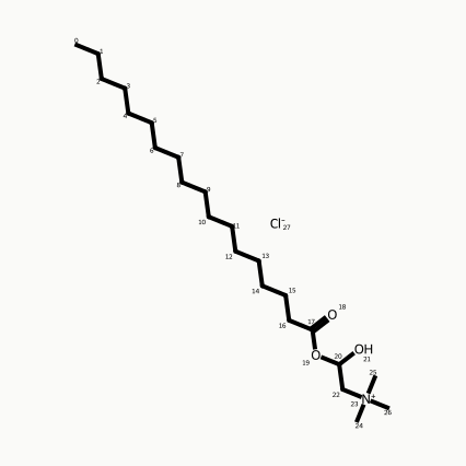 CCCCCCCCCCCCCCCCCC(=O)OC(O)C[N+](C)(C)C.[Cl-]